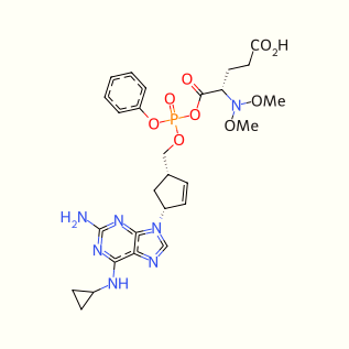 CON(OC)[C@@H](CCC(=O)O)C(=O)OP(=O)(OC[C@@H]1C=C[C@H](n2cnc3c(NC4CC4)nc(N)nc32)C1)Oc1ccccc1